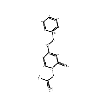 C=C(Br)Cn1ccc(OCc2ccccc2)cc1=O